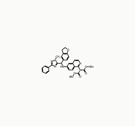 Cn1nc(-c2ccccc2)nc1C(Nc1ccc2c(N(C(=O)OC(C)(C)C)C(=O)OC(C)(C)C)nccc2c1)c1ccc2c(c1)CCO2